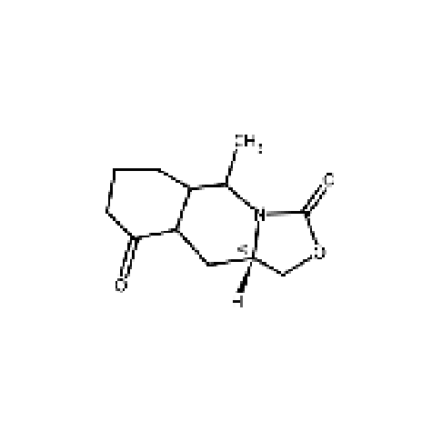 CC1C2CCCC(=O)C2C[C@H]2COC(=O)N12